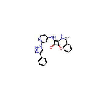 C[C@@H](Nc1c(Nc2ccnc(-n3cc(-c4ccccc4)nn3)c2)c(=O)c1=O)c1ccccc1